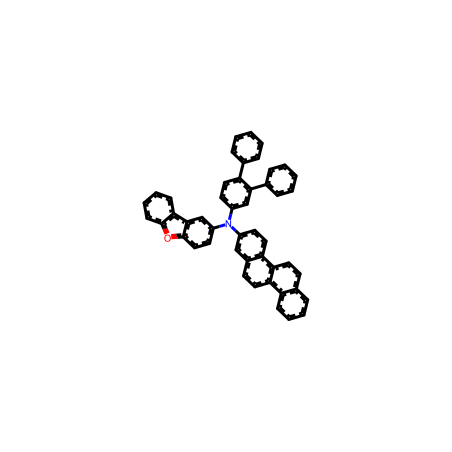 c1ccc(-c2ccc(N(c3ccc4c(ccc5c6ccccc6ccc45)c3)c3ccc4oc5ccccc5c4c3)cc2-c2ccccc2)cc1